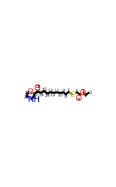 CCOC(=O)CSCCCCCCCCCCC(=O)C1CNCCO1